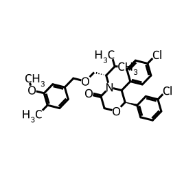 COc1cc(COC[C@H](C(C)C)N2C(=O)CO[C@H](c3cccc(Cl)c3)C2c2ccc(Cl)cc2)ccc1C